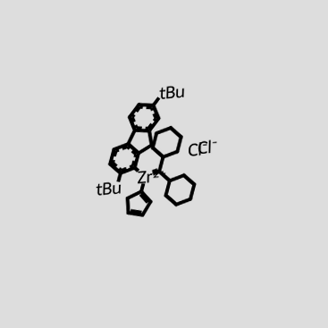 CC(C)(C)c1ccc2c(c1)Cc1c-2ccc(C(C)(C)C)[c]1[Zr+2]([C]1=CC=CC1)=[C](C1CCCCC1)C1CCCCC1.[Cl-].[Cl-]